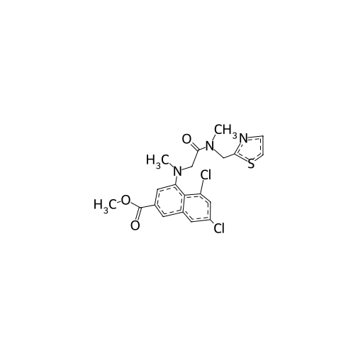 COC(=O)c1cc(N(C)CC(=O)N(C)Cc2nccs2)c2c(Cl)cc(Cl)cc2c1